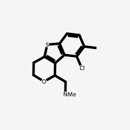 CNCC1OCCc2sc3ccc(C)c(Cl)c3c21